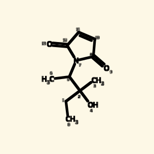 CCC(C)(O)C(C)N1C(=O)C=CC1=O